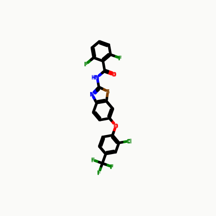 O=C(Nc1nc2ccc(Oc3ccc(C(F)(F)F)cc3Cl)cc2s1)c1c(F)cccc1F